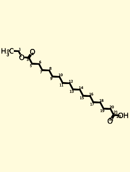 CCOC(=O)CCCCCCCCCCCCCCCCC(=O)O